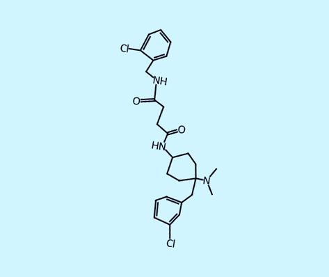 CN(C)C1(Cc2cccc(Cl)c2)CCC(NC(=O)CCC(=O)NCc2ccccc2Cl)CC1